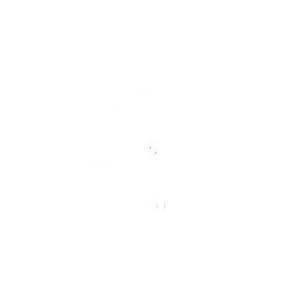 CCOP(=O)(OCC)c1ccccc1N(CCO)CCO